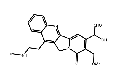 COCc1c(C(O)C=O)cc2n(c1=O)Cc1c-2nc2ccccc2c1CCNC(C)C